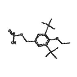 CCOc1c(C(C)(C)C)cc(CO[PH](=O)O)cc1C(C)(C)C